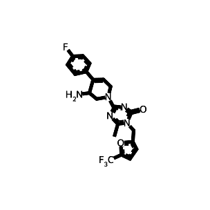 Cc1nc(N2CC=C(c3ccc(F)cc3)C(N)C2)nc(=O)n1Cc1ccc(C(F)(F)F)o1